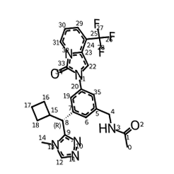 CC(=O)NCc1cc([C@H](c2nncn2C)C2CCC2)cc(-n2cc3c(C(F)(F)F)cccn3c2=O)c1